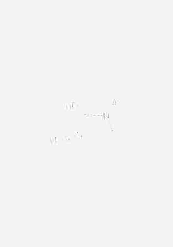 CCCCCCN1C=CN(C(C)C)C1CCCC